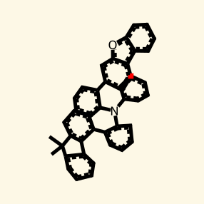 CC1(C)c2ccccc2-c2c(-c3ccccc3N(c3ccccc3)c3ccccc3-c3ccc4c(c3)oc3ccccc34)cccc21